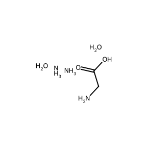 N.N.NCC(=O)O.O.O